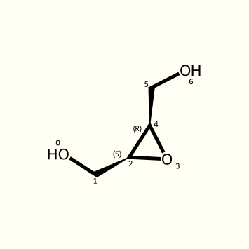 OC[C@@H]1O[C@@H]1CO